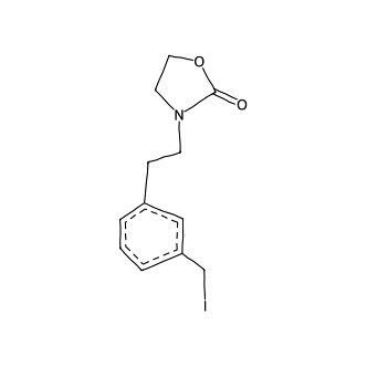 O=C1OCCN1CCc1cccc(CI)c1